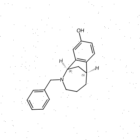 Oc1ccc2c(c1)[C@H]1C[C@@H]2CCCN1Cc1ccccc1